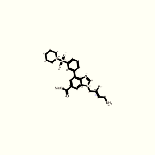 COC(=O)c1cc(-c2cccc(S(=O)(=O)N3CCCCC3)c2)c2ncn(C/C(F)=C/CN)c2c1